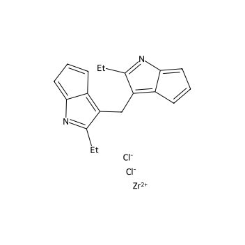 CCC1=NC2=CC=CC2=C1CC1=C2C=CC=C2N=C1CC.[Cl-].[Cl-].[Zr+2]